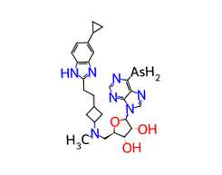 CN(C[C@H]1O[C@@H](n2cnc3c([AsH2])ncnc32)[C@H](O)[C@@H]1O)C1CC(CCc2nc3cc(C4CC4)ccc3[nH]2)C1